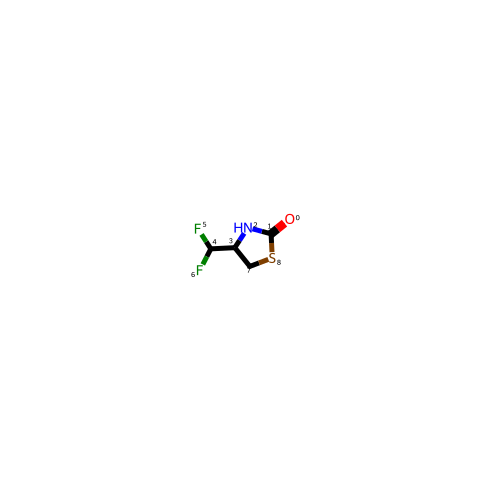 O=C1NC(C(F)F)CS1